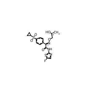 C[C@H](O)CO/N=C(/C(=O)Nc1ncc(F)s1)c1ccc(S(=O)(=O)C2CC2)cc1